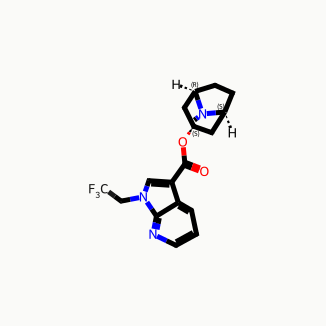 CN1[C@@H]2CC[C@H]1C[C@H](OC(=O)c1cn(CC(F)(F)F)c3ncccc13)C2